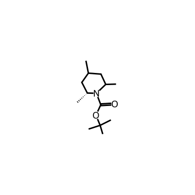 CC1CC(C)N(C(=O)OC(C)(C)C)[C@H](C)C1